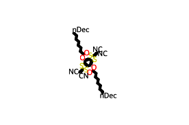 [C-]#[N+]C([N+]#[C-])=C1Sc2c(OC(=O)CCCCCCCCCCCCCCCCC)c3c(c(OC(=O)CCCCCCCCCCCCCCCCC)c2S1)SC(=C(C#N)C#N)S3